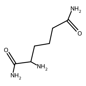 NC(=O)CCCC(N)C(N)=O